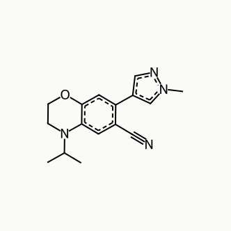 CC(C)N1CCOc2cc(-c3cnn(C)c3)c(C#N)cc21